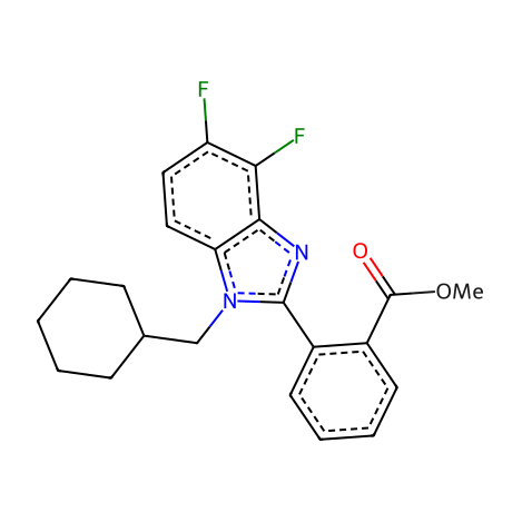 COC(=O)c1ccccc1-c1nc2c(F)c(F)ccc2n1CC1CCCCC1